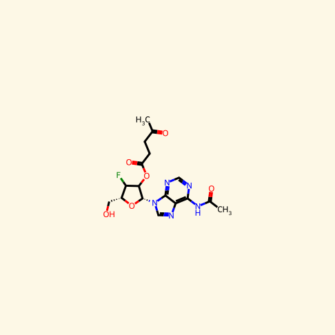 CC(=O)CCC(=O)OC1C(F)[C@@H](CO)O[C@H]1n1cnc2c(NC(C)=O)ncnc21